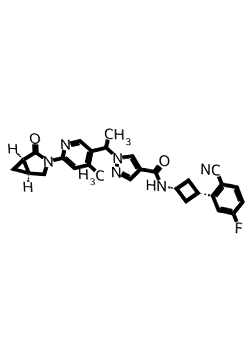 Cc1cc(N2C[C@H]3C[C@H]3C2=O)ncc1C(C)n1cc(C(=O)N[C@H]2C[C@@H](c3cc(F)ccc3C#N)C2)cn1